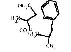 CC(N)Cc1ccccc1.NC(CC(=O)O)C(=O)O